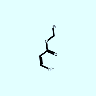 CCC/C=[C]\C(=O)OCC(C)C